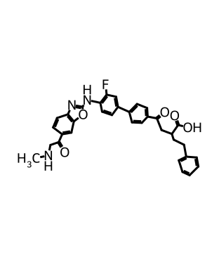 CNCC(=O)c1ccc2nc(Nc3ccc(-c4ccc(C(=O)CC(CCc5ccccc5)C(=O)O)cc4)cc3F)oc2c1